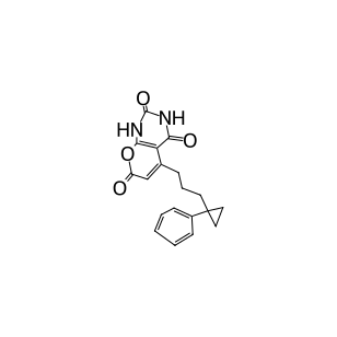 O=c1[nH]c(=O)c2c(CCCC3(c4ccccc4)CC3)cc(=O)oc2[nH]1